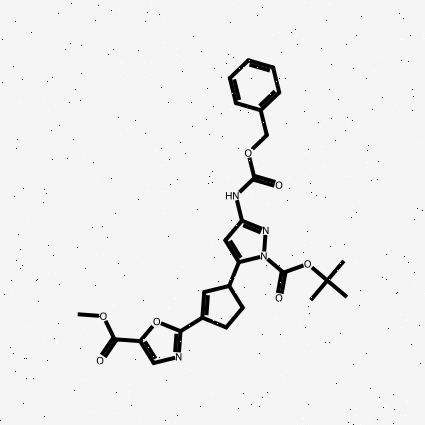 COC(=O)c1cnc(C2=CC(c3cc(NC(=O)OCc4ccccc4)nn3C(=O)OC(C)(C)C)CC2)o1